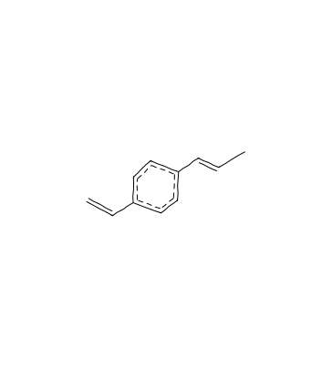 C=Cc1ccc(C=CC)cc1